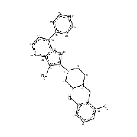 N#Cc1c(N2CCN(Cc3c(Cl)cccc3Cl)CC2)nn2c(-c3ccncc3)ccnc12